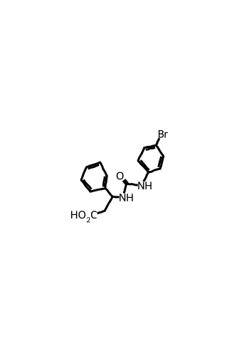 O=C(O)CC(NC(=O)Nc1ccc(Br)cc1)c1ccccc1